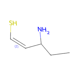 CCC(N)/C=C\S